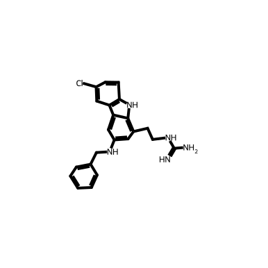 N=C(N)NCCc1cc(NCc2ccccc2)cc2c1[nH]c1ccc(Cl)cc12